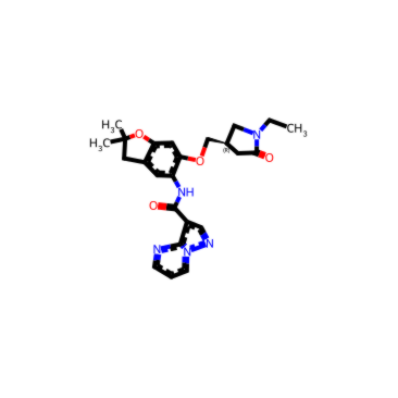 CCN1C[C@H](COc2cc3c(cc2NC(=O)c2cnn4cccnc24)CC(C)(C)O3)CC1=O